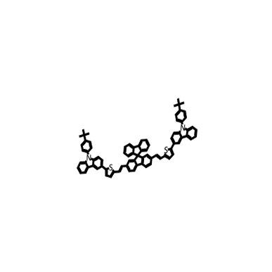 CC(C)(C)c1ccc(-n2c3ccccc3c3cc(-c4ccc(/C=C/c5ccc6c(c5)C5(c7ccccc7-c7ccccc75)c5cc(/C=C/c7ccc(-c8ccc9c(c8)c8ccccc8n9-c8ccc(C(C)(C)C)cc8)s7)ccc5-6)s4)ccc32)cc1